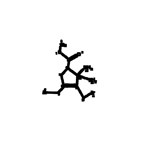 CC(C)(C)OC(=O)C1CC(CBr)=C(CBr)C1(N)N